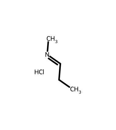 CCC=NC.Cl